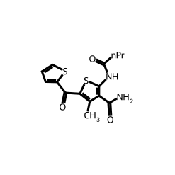 CCCC(=O)Nc1sc(C(=O)c2cccs2)c(C)c1C(N)=O